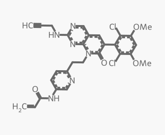 C#CCNc1ncc2cc(-c3c(Cl)c(OC)cc(OC)c3Cl)c(=O)n(CCc3ccc(NC(=O)C=C)cn3)c2n1